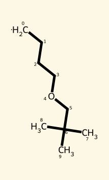 [CH2]CCCOCC(C)(C)C